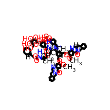 COc1cc2c(cc1OCc1cc(COc3cc4c(cc3OC)C(=O)N3Cc5ccccc5C[C@H]3C=N4)cc(C[N+](C)(C)Cc3ccc(OS(=O)(=O)Oc4cc(C(=O)NCC(C)(C)COCC(C)(C)CNC(=O)OCC5C6CCC#CCC[C@H]65)ccc4O[C@@H]4OC(CO)[C@H](O)[C@H](O)[C@H]4O)cc3)c1)N=CC1Cc3ccccc3CN1C2=O